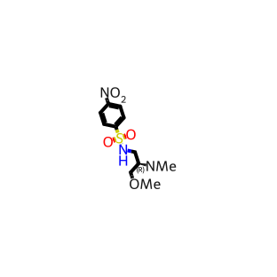 CN[C@H](CNS(=O)(=O)c1ccc([N+](=O)[O-])cc1)COC